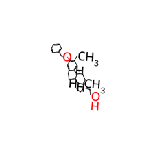 CCc1cc2c(cc1OCc1ccccc1)CC[C@@H]1[C@@H]2CC[C@]2(C)[C@@H](CCO)CC[C@@H]12